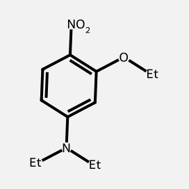 CCOc1cc(N(CC)CC)ccc1[N+](=O)[O-]